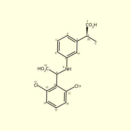 C[C@H](C(=O)O)c1cccc(NC(C(=O)O)c2c(Cl)cccc2Cl)c1